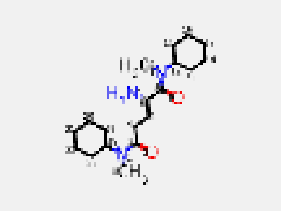 CN(C(=O)CC[C@H](N)C(=O)N(C)C1CCCCC1)C1CCCCC1